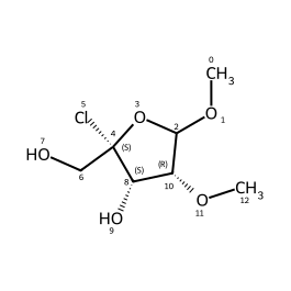 COC1O[C@](Cl)(CO)[C@@H](O)[C@H]1OC